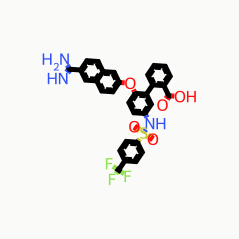 N=C(N)c1ccc2cc(Oc3ccc(NS(=O)(=O)c4ccc(C(F)(F)F)cc4)cc3-c3ccccc3C(=O)O)ccc2c1